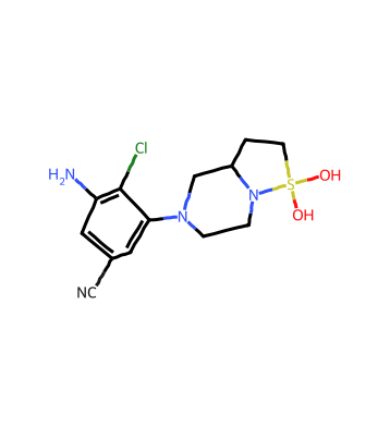 N#Cc1cc(N)c(Cl)c(N2CCN3C(CCS3(O)O)C2)c1